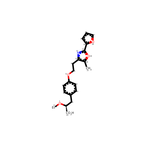 CCO[C@@H](Cc1ccc(OCCc2nc(-c3ccco3)oc2C)cc1)C(=O)O